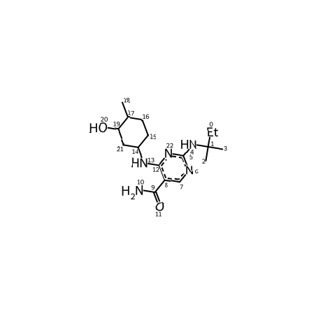 CCC(C)(C)Nc1ncc(C(N)=O)c(NC2CCC(C)C(O)C2)n1